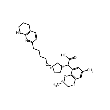 Cc1cc2c(c(C(C(=O)O)N3CC[C@@H](OCCCCc4ccc5c(n4)NCCC5)C3)c1)O[C@@H](C)CO2